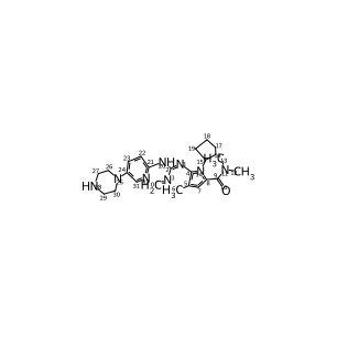 C=N/C(=N\c1c(C)cc(C(=O)N(C)C)n1C1CCCC1)Nc1ccc(N2CCNCC2)cn1